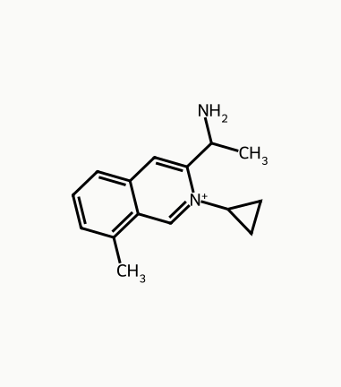 Cc1cccc2cc(C(C)N)[n+](C3CC3)cc12